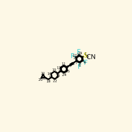 N#CSc1c(F)c(F)c(C#Cc2ccc(C3CCC(CC4CC4)CC3)cc2)c(F)c1F